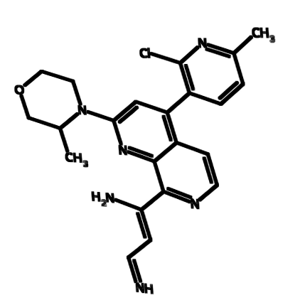 Cc1ccc(-c2cc(N3CCOCC3C)nc3c(/C(N)=C/C=N)nccc23)c(Cl)n1